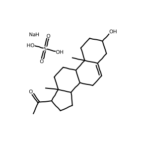 CC(=O)C1CCC2C3CC=C4CC(O)CCC4(C)C3CCC12C.O=S(=O)(O)O.[NaH]